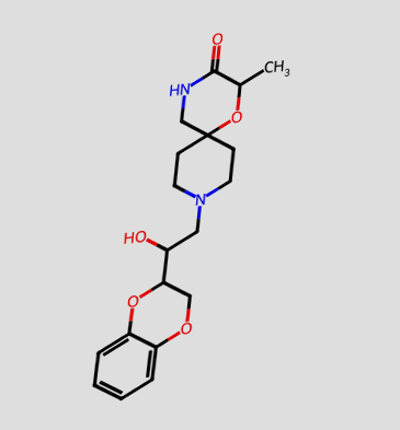 CC1OC2(CCN(CC(O)C3COc4ccccc4O3)CC2)CNC1=O